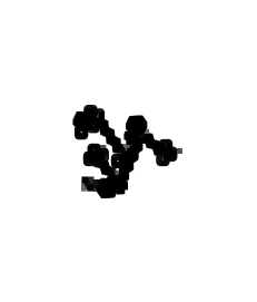 CC1(C)C(/C=C/C=C(/C=C/C=C2/N(CCCCS(=O)(=O)[O-])c3ccccc3C2(C)C)C(=O)NCCCCCCC(=O)ON2C(=O)CCC2=O)=[N+](CCCCS(=O)(=O)[O-])c2ccccc21.[Na+]